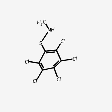 CNSc1c(Cl)c(Cl)c(Cl)c(Cl)c1Cl